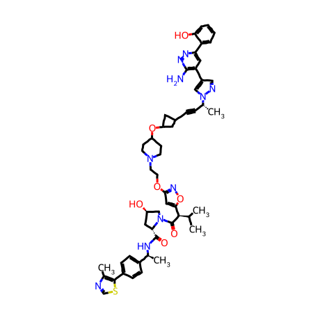 Cc1ncsc1-c1ccc([C@H](C)NC(=O)[C@@H]2C[C@@H](O)CN2C(=O)[C@@H](c2cc(OCCN3CCC(OC4CC(C#C[C@@H](C)n5cc(-c6cc(-c7ccccc7O)nnc6N)cn5)C4)CC3)no2)C(C)C)cc1